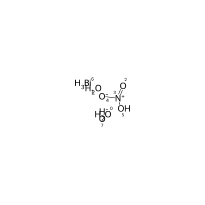 O.O.O=[N+]([O-])O.[BiH3].[OH-]